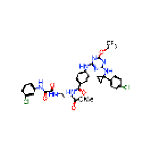 COC(=O)[C@H](CCNC(=O)C(=O)Nc1cccc(Cl)c1)NC(=O)c1ccc(Nc2nc(NC3(c4ccc(Cl)cc4)CC3)nc(OCC(F)(F)F)n2)cc1